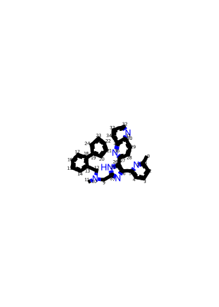 Cc1cccc(-c2nc(CN(C)Cc3ccccc3-c3ccccc3)[nH]c2-c2ccc3ncccc3n2)n1